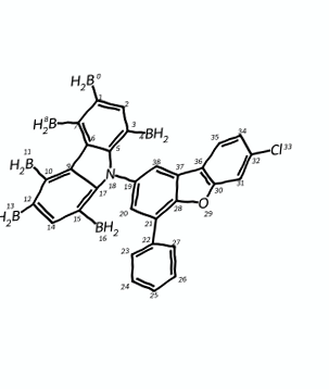 Bc1cc(B)c2c(c1B)c1c(B)c(B)cc(B)c1n2-c1cc(-c2ccccc2)c2oc3cc(Cl)ccc3c2c1